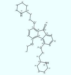 CCOc1ccc(OCCC2CCCCN2)c2c1-c1c(OCCC3CCCCN3)cccc1C2=O